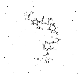 CCC(=O)Nc1nc(C)c(C(=O)N[C@@H](C)c2ccc(O[C@@H]3CCN(c4ncnc(OCC(C)(C)O)c4F)C3)cc2)s1